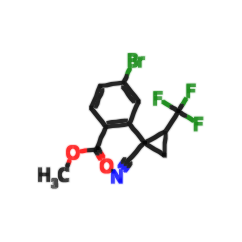 COC(=O)c1ccc(Br)cc1C1(C#N)CC1C(F)(F)F